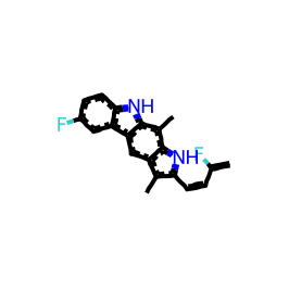 C=C(F)/C=C\c1[nH]c2c(C)c3[nH]c4ccc(F)cc4c3cc2c1C